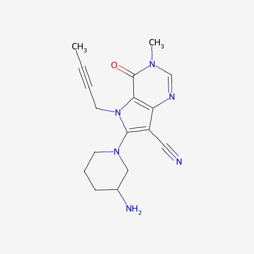 CC#CCn1c(N2CCCC(N)C2)c(C#N)c2ncn(C)c(=O)c21